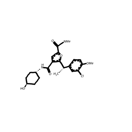 CNC(=O)c1cc(C(=O)N[C@H]2CC[C@H](O)CC2)c([C@@H](C)c2ccc(OC)c(Cl)c2)o1